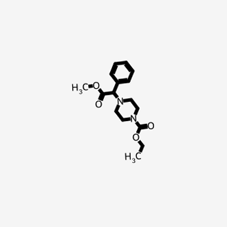 CCOC(=O)N1CCN(C(C(=O)OC)c2ccccc2)CC1